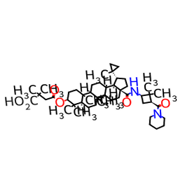 CC(C)(CC(=O)O[C@H]1CC[C@]2(C)[C@H]3CC[C@@H]4[C@H]5[C@H](C6(C)CC6)CC[C@]5(C(=O)N[C@@H]5C[C@H](C(=O)N6CCCCC6)C5(C)C)CC[C@@]4(C)[C@]3(C)CC[C@H]2C1(C)C)C(=O)O